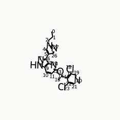 CCCn1cc(-c2n[nH]c3ccc(O[C@H](C)c4c(Cl)cncc4Cl)nc23)cn1